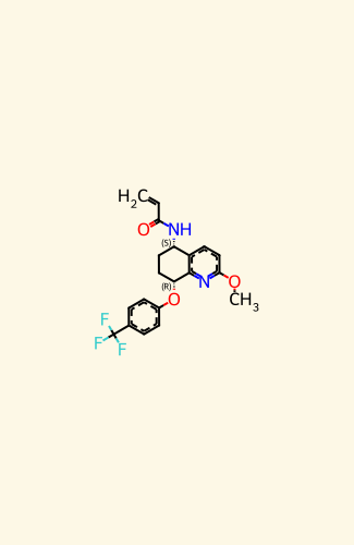 C=CC(=O)N[C@H]1CC[C@@H](Oc2ccc(C(F)(F)F)cc2)c2nc(OC)ccc21